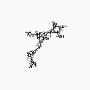 C/N=C/[C@H]1CC(F)(F)CN1C(=O)CNC(=O)c1ccnc2ccc(OCCCCN3CCN(C(=O)CCCN4C(=O)CC(SC(CCCCCNC(=O)CCCc5ccc(I)cc5)CNC(=O)CN5CCN(CC(=O)O)CCN(CC(=O)O)CCN(CC(=O)O)CC5)C4=O)CC3)cc12